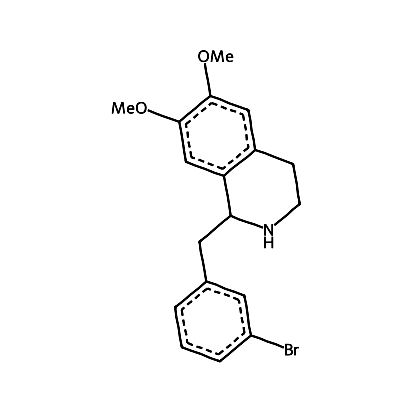 COc1cc2c(cc1OC)C(Cc1cccc(Br)c1)NCC2